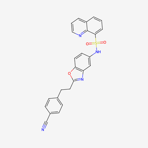 N#Cc1ccc(CCc2nc3cc(NS(=O)(=O)c4cccc5cccnc45)ccc3o2)cc1